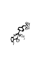 Cn1c(-c2ccc(CP(=O)(O)O)cc2)nc2cccc(F)c2c1=O